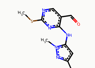 CSc1ncc(C=O)c(Nc2cc(C)nn2C)n1